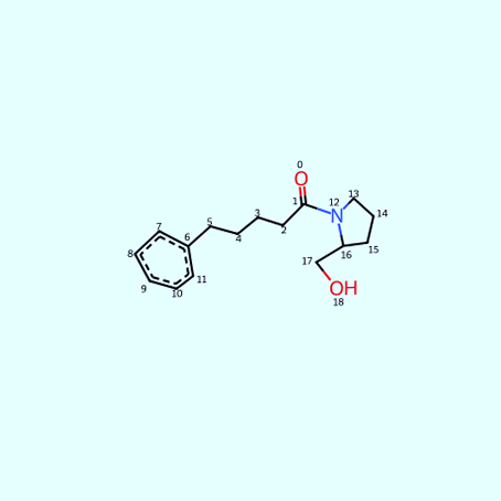 O=C(CCCCc1ccccc1)N1CCCC1CO